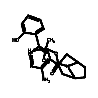 CC(C)(C)OC(=O)N1C2CCC1CN(c1cc(-c3ccccc3O)nnc1N)C2